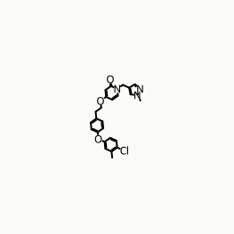 Cc1cc(Oc2ccc(CCOc3ccn(Cc4cnn(C)c4)c(=O)c3)cc2)ccc1Cl